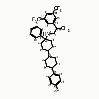 CC(CNC1(c2ccccc2)CCC(N2CCC(c3ccc(F)cc3)CC2)CC1)c1cc(C(F)(F)F)cc(C(F)(F)F)c1